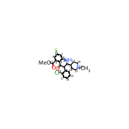 COC(=O)c1cc(F)cc2c1C(=O)C(c1ccccc1Cl)C(C1CCN(C)CC1)N2